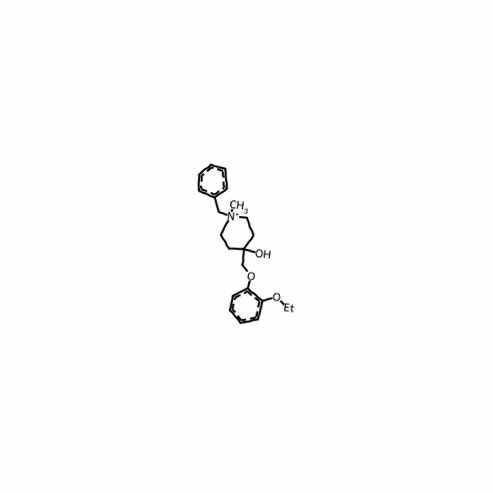 CCOc1ccccc1OCC1(O)CC[N+](C)(Cc2ccccc2)CC1